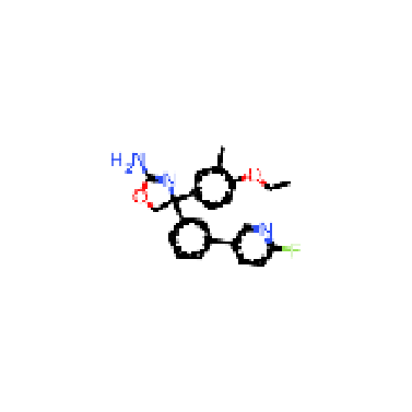 CCOc1ccc(C2(c3cccc(-c4ccc(F)nc4)c3)COC(N)=N2)cc1C